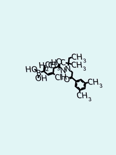 C=C(C(=O)NN(CC(=O)c1cc(C)cc(C)c1)C(C)(C)CC)/C(Cl)=C\C(=C/C)B(O)O